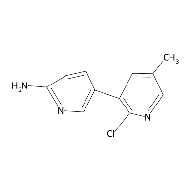 Cc1cnc(Cl)c(-c2ccc(N)nc2)c1